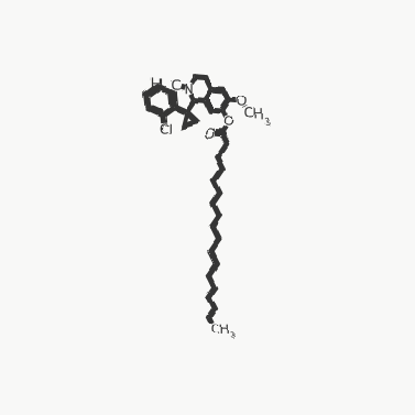 CCCCCCCCCCCCCCCCCC(=O)Oc1cc2c(cc1OC)CCN(C)C2C1(c2ccccc2Cl)CC1